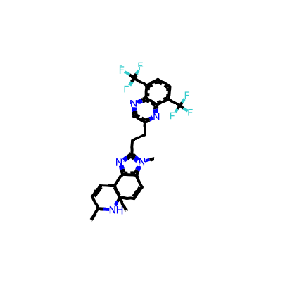 CC1C=CC2c3nc(CCc4cnc5c(C(F)(F)F)ccc(C(F)(F)F)c5n4)n(C)c3C=CC2(C)N1